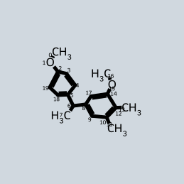 COc1ccc(C(C)c2cc(C)c(C)c(OC)c2)cc1